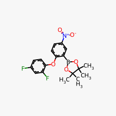 CC1(C)OB(c2cc([N+](=O)[O-])ccc2Oc2ccc(F)cc2F)OC1(C)C